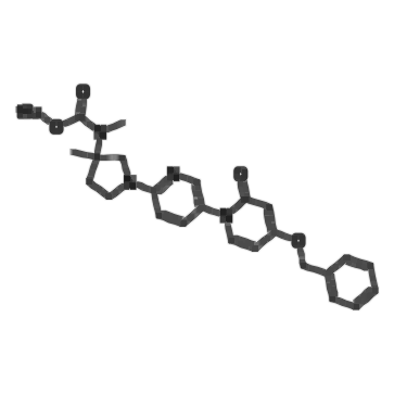 CN(C(=O)OC(C)(C)C)C1(C)CCN(c2ccc(-n3ccc(OCc4ccccc4)cc3=O)cn2)C1